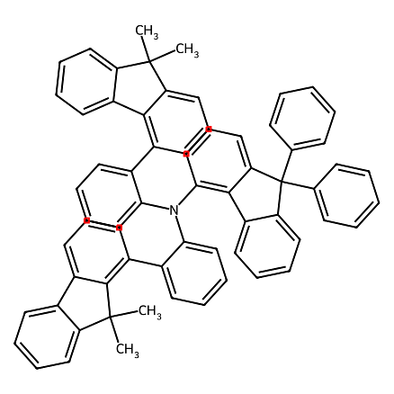 CC1(C)c2ccccc2-c2c(-c3ccccc3N(c3ccccc3-c3cccc4c3C(C)(C)c3ccccc3-4)c3cccc4c3-c3ccccc3C4(c3ccccc3)c3ccccc3)cccc21